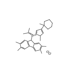 C[C](C)=[Zr+2]([C]1=CC(C2(C)CCCCC2)=CC1C)[CH]1c2cc(C)c(C)cc2-c2cc(C)c(C)cc21.[Cl-].[Cl-]